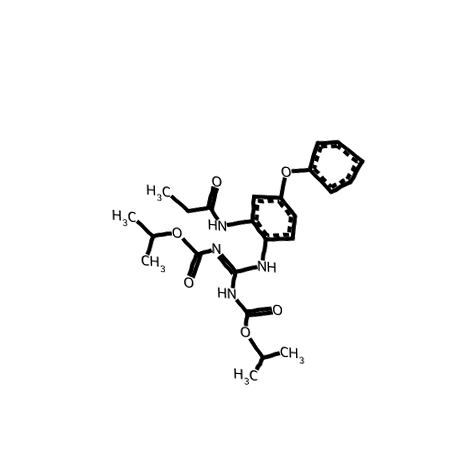 CCC(=O)Nc1cc(Oc2ccccc2)ccc1NC(=NC(=O)OC(C)C)NC(=O)OC(C)C